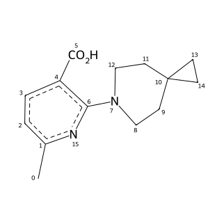 Cc1ccc(C(=O)O)c(N2CCC3(CC2)CC3)n1